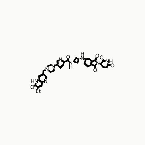 CCc1cc2ncc(CN3CCN(c4ccc(C(=O)N[C@H]5C[C@H](Nc6ccc7c(c6)C(=O)N(C6CCC(=O)NC6=O)C7=O)C5)nc4)CC3)cc2[nH]c1=O